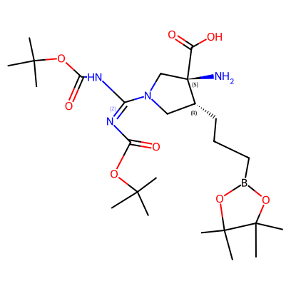 CC(C)(C)OC(=O)/N=C(/NC(=O)OC(C)(C)C)N1C[C@@H](CCCB2OC(C)(C)C(C)(C)O2)[C@@](N)(C(=O)O)C1